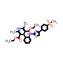 CCOC(=O)C1=C(C)NC(C)=C(C(=O)OCC)C1c1ccccc1Nc1nc(-c2ccc(S(C)(=O)=O)cc2)cs1